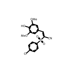 COc1cc(C=C(C#N)S(=O)(=O)c2ccc(Cl)cc2)cc(OC)c1O